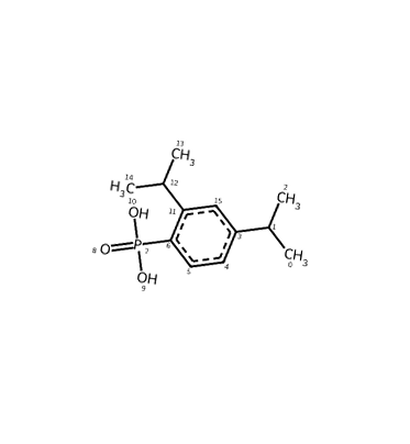 CC(C)c1ccc(P(=O)(O)O)c(C(C)C)c1